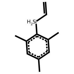 C=C[SiH2]c1c(C)cc(C)cc1C